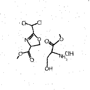 COC(=O)C(N)CO.COC(=O)C1COC(C(Cl)Cl)=N1.Cl